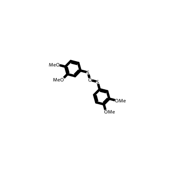 COc1ccc(SOSc2ccc(OC)c(OC)c2)cc1OC